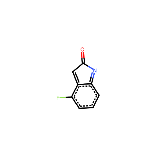 O=C1C=c2c(F)cccc2=N1